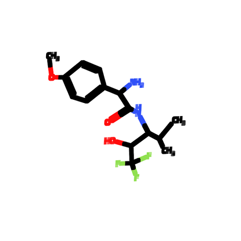 COc1ccc(C(N)C(=O)NC(C(C)C)C(O)C(F)(F)F)cc1